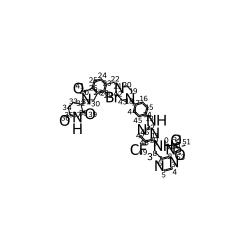 CN(c1nccnc1CNc1nc(Nc2ccc(N3CCN(Cc4ccc5c(c4Br)CN(C4CCC(=O)NC4=O)C5=O)CC3)cc2)ncc1C(F)(F)F)S(C)(=O)=O